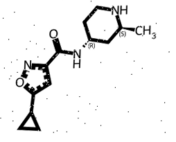 C[C@H]1C[C@H](NC(=O)c2cc(C3CC3)on2)CCN1